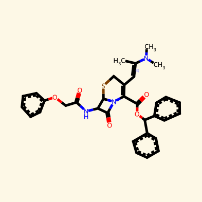 C/C(=C\C1=C(C(=O)OC(c2ccccc2)c2ccccc2)N2C(=O)C(NC(=O)COc3ccccc3)C2SC1)N(C)C